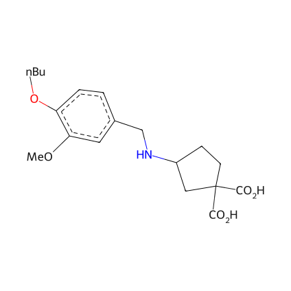 CCCCOc1ccc(CNC2CCC(C(=O)O)(C(=O)O)C2)cc1OC